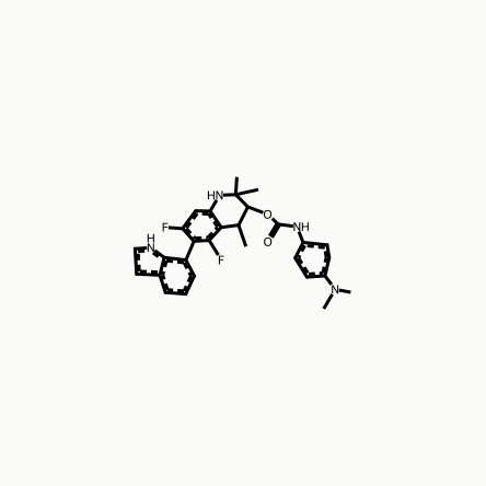 CC1c2c(cc(F)c(-c3cccc4cc[nH]c34)c2F)NC(C)(C)C1OC(=O)Nc1ccc(N(C)C)cc1